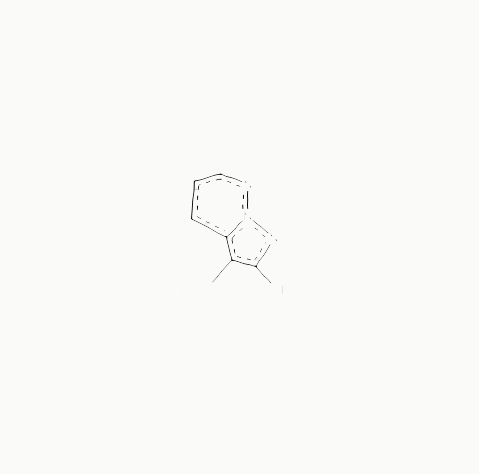 Cc1nn2ncccc2c1C=O